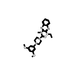 CCOc1nc2ccccc2nc1N(C)C(=O)N1CCN(c2cc(OC)cc(OC)c2)CC1